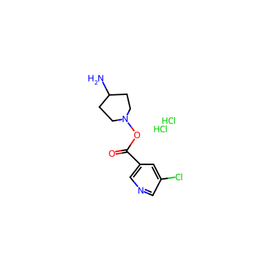 Cl.Cl.NC1CCN(OC(=O)c2cncc(Cl)c2)CC1